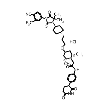 C[C@@H]1CC(OCCC[C@H]2CC[C@H](N3C(=S)N(c4ccc(C#N)c(C(F)(F)F)c4)C(=O)C3(C)C)CC2)C[C@H](C)N1CC(=O)Nc1ccc(C2CCC(=O)NC2=O)cc1.Cl